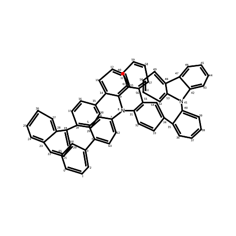 c1ccc(-c2ccc(N(c3ccccc3-c3ccc(-c4cccc5ccccc45)cc3)c3ccc(-c4ccccc4-n4c5ccccc5c5ccccc54)cc3-c3ccccc3)cc2)cc1